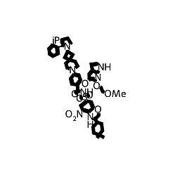 COCCOc1nc2[nH]ccc2cc1Oc1cc(N2CCC3(CC2)CC(N2CCC[C@@H]2c2ccccc2C(C)C)C3)ccc1C(=O)NS(=O)(=O)c1cc2c(c([N+](=O)[O-])c1)NC(C1CCC(C)(C)CC1)CO2